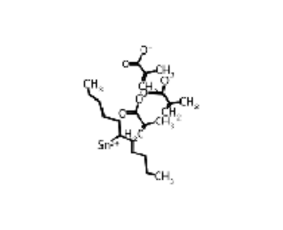 C=C(C)C(=O)[O-].C=C(C)C(=O)[O-].C=C(C)C(=O)[O-].CCCCC[CH]([Sn+3])CCCCC